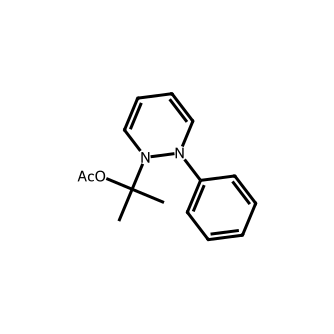 CC(=O)OC(C)(C)N1C=CC=CN1c1ccccc1